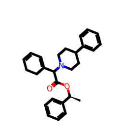 C[C@H](OC(=O)C(C1=CC=CCC1)N1CCC(c2ccccc2)CC1)c1ccccc1